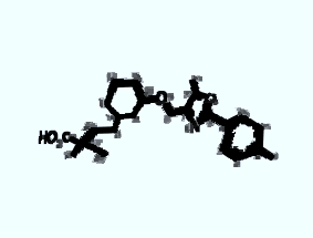 Cc1ccc(-c2nc(COC3CCCC(CCC(C)(C)C(=O)O)C3)c(C)o2)cc1